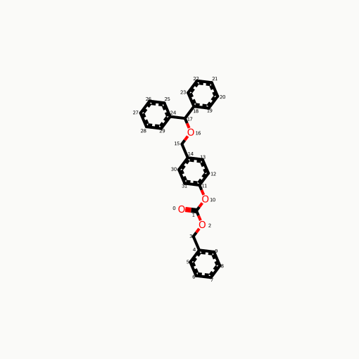 O=C(OCc1ccccc1)Oc1ccc(COC(c2ccccc2)c2ccccc2)cc1